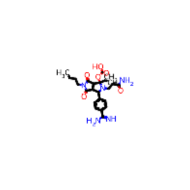 CCCCN1C(=O)C2C(c3ccc(C(=N)N)cc3)N(CCC(N)=O)C(OC(=O)O)(C(C)C)C2C1=O